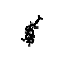 CO[C@@H]1C[C@H]2[C@@H]3CC[C@H]([C@H](C)[C@H](O)C#CC(C)C)[C@@]3(C)CC[C@@H]2[C@@]2(C)CC[C@H]3C[C@]312